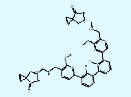 COc1nc(-c2cccc(-c3cccc(-c4cnc(CNC[C@@H]5CC6(CC6)C(=O)N5)c(OC)n4)c3Cl)c2Cl)cnc1CNC[C@@H]1CC2(CC2)C(=O)N1